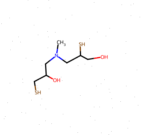 CN(CC(O)CS)CC(S)CO